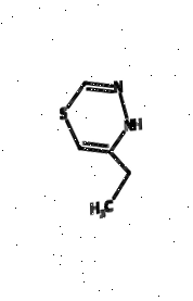 CCC1=CSC=NN1